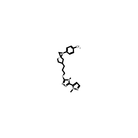 Cn1nccc1-c1nnc(SCCCC2CC[C@]3(C2)CN3c2ccc(C(F)(F)F)cc2)n1C